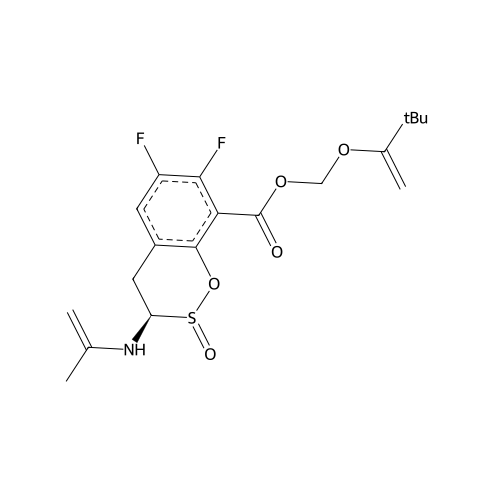 C=C(C)N[C@H]1Cc2cc(F)c(F)c(C(=O)OCOC(=C)C(C)(C)C)c2OS1=O